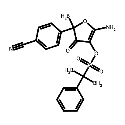 BC1(c2ccc(C#N)cc2)OC(N)=C(OS(=O)(=O)C(B)(B)c2ccccc2)C1=O